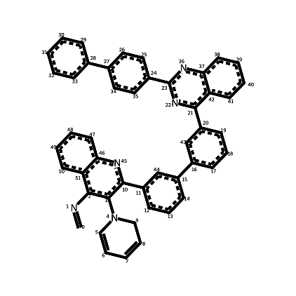 C=Nc1c(N2C=CC=CC2)c(-c2cccc(-c3cccc(-c4nc(-c5ccc(-c6ccccc6)cc5)nc5ccccc45)c3)c2)nc2ccccc12